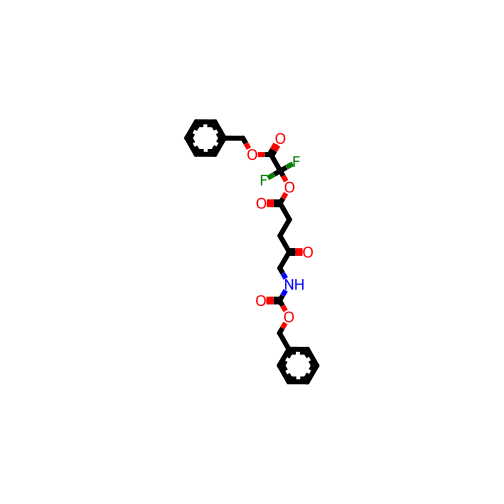 O=C(CCC(=O)OC(F)(F)C(=O)OCc1ccccc1)CNC(=O)OCc1ccccc1